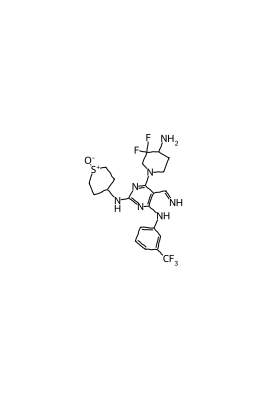 N=Cc1c(Nc2cccc(C(F)(F)F)c2)nc(NC2CC[S+]([O-])CC2)nc1N1CCC(N)C(F)(F)C1